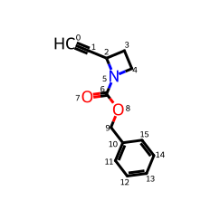 C#CC1CCN1C(=O)OCc1ccccc1